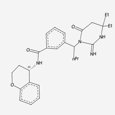 CCCC(c1cccc(C(=O)N[C@H]2CCOc3ccccc32)c1)N1C(=N)NC(CC)(CC)CC1=O